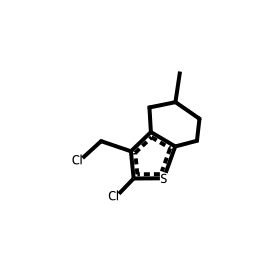 CC1CCc2sc(Cl)c(CCl)c2C1